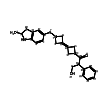 CC1Nc2ccc(SN3CC(=C4CN(C(=O)C(CO)c5ccccc5)C4)C3)cc2S1